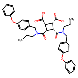 CCCN(Cc1ccc(Oc2ccccc2)cc1)C(=O)[C@H]1[C@@H](C(=O)O)[C@H](C(=O)O)[C@@H]1C(=O)N(CCC)Cc1ccc(Oc2ccccc2)cc1